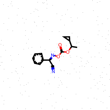 CC(OC(=O)ON=C(C#N)c1ccccc1)C1CC1